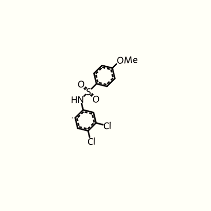 COc1ccc(S(=O)(=O)Nc2[c]cc(Cl)c(Cl)c2)cc1